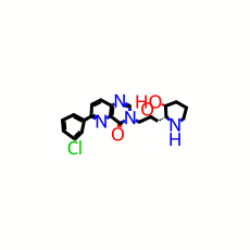 O=C(C[C@H]1NCCC[C@@H]1O)Cn1cnc2ccc(-c3cccc(Cl)c3)nc2c1=O